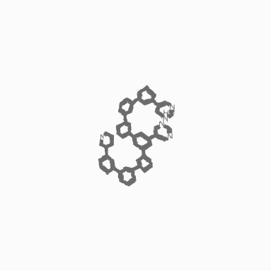 C1=CC(c2cccc(-c3cccc(-c4cccc(-c5cc(-c6cncnc6)cc(-c6cccc(-c7cccc(-c8cccc(C9=CN=CNC9)c8)c7)c6)c5)c4)c3)c2)CN=C1